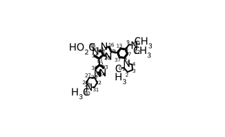 CC1CCCN1c1cc(CN(C)C)cc(-c2cnc3c(n2)c(-c2cnn(C4CCN(C)CC4)c2)cn3C(=O)O)c1